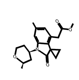 COC(=O)Cc1cc(C)cc2c1C1(CC1)C(=O)N2[C@@H]1CCO[C@H](C)C1